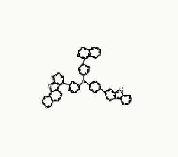 c1cc(-c2cccc3oc4c5ccccc5ccc4c23)cc(N(c2ccc(-c3ccc4c(c3)oc3ccccc34)cc2)c2ccc(-c3cccc4ccccc34)cc2)c1